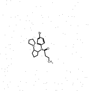 CCCC(=O)N(c1ccc(Br)cc1)C1CCCC1N1CCCC1